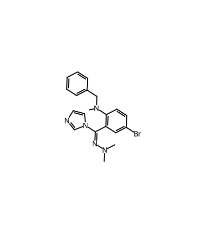 CN(C)/N=C(\c1cc(Br)ccc1N(C)Cc1ccccc1)n1ccnc1